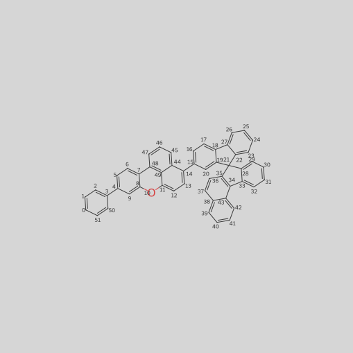 c1ccc(-c2ccc3c(c2)Oc2ccc(-c4ccc5c(c4)C4(c6ccccc6-5)c5ccccc5-c5c4ccc4ccccc54)c4cccc-3c24)cc1